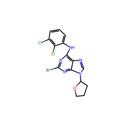 Clc1cccc(Nc2nc(Br)nc3c2ncn3C2CCCO2)c1Cl